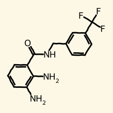 Nc1cccc(C(=O)NCc2cccc(C(F)(F)F)c2)c1N